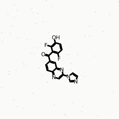 O=C(c1ccc2ncc(-n3ccnc3)nc2c1)c1c(F)ccc(O)c1F